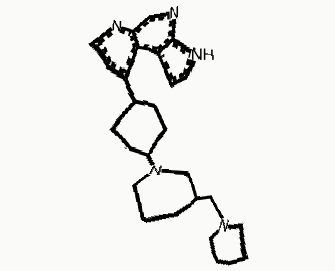 [CH]1CC(c2ccnc3cnc4[nH]ccc4c23)CCC1N1CCCC(CN2CCCC2)C1